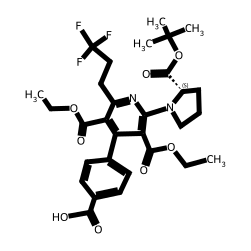 CCOC(=O)c1c(CCC(F)(F)F)nc(N2CCC[C@H]2C(=O)OC(C)(C)C)c(C(=O)OCC)c1-c1ccc(C(=O)O)cc1